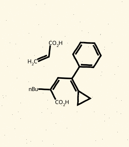 C=CC(=O)O.CCCCC(=CC(=C1CC1)c1ccccc1)C(=O)O